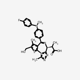 Cc1c(CO)sc2c1C(c1ccc(N(C)c3ccc(F)cc3)cc1)=N[C@@H](C(C)C(=O)O)c1nnc(C)n1-2